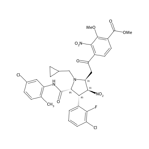 COC(=O)c1ccc(C(=O)C[C@H]2[C@@H]([N+](=O)[O-])[C@H](c3cccc(Cl)c3F)[C@H](C(=O)Nc3cc(Cl)ccc3C)N2CC2CC2)c([N+](=O)[O-])c1OC